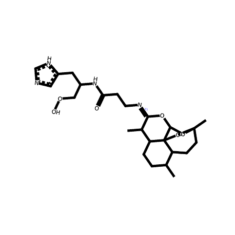 CC1CCC2C(C)/C(=N\CCC(=O)NC(COO)Cc3cnc[nH]3)OC3OC4(C)CCC1C32OO4